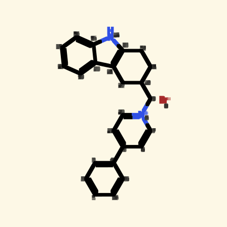 [Br-].c1ccc(-c2cc[n+](CC3CCc4[nH]c5ccccc5c4C3)cc2)cc1